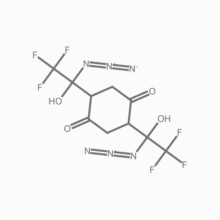 [N-]=[N+]=NC(O)(C1CC(=O)C(C(O)(N=[N+]=[N-])C(F)(F)F)CC1=O)C(F)(F)F